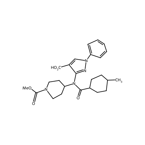 COC(=O)N1CCC(N(C(=O)C2CCC(C)CC2)c2nn(-c3ccccc3)cc2C(=O)O)CC1